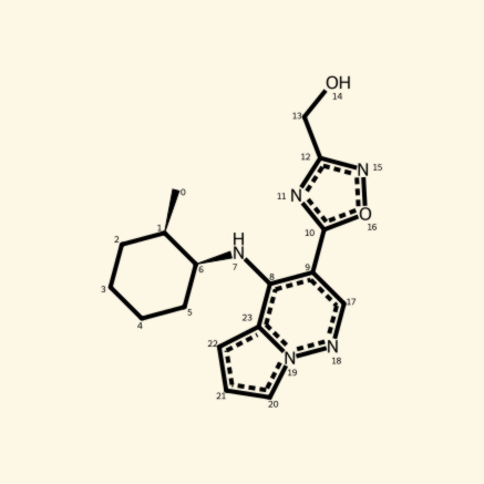 C[C@@H]1CCCC[C@@H]1Nc1c(-c2nc(CO)no2)cnn2cccc12